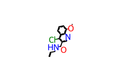 C=CCNC(=O)c1cnc2c(OC)cccc2c1Cl